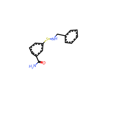 NC(=O)c1cccc(SNCc2ccccc2)c1